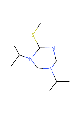 CSC1=NCN(C(C)C)CN1C(C)C